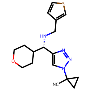 N#CC1(n2cc([C@@H](NCc3ccsc3)C3CCOCC3)nn2)CC1